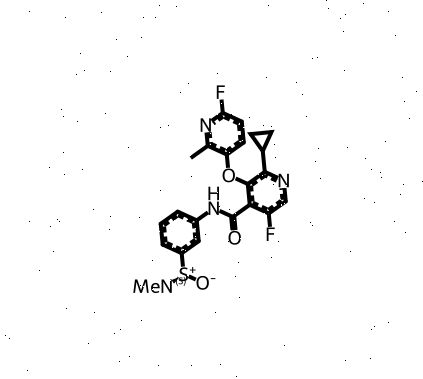 CN[S@+]([O-])c1cccc(NC(=O)c2c(F)cnc(C3CC3)c2Oc2ccc(F)nc2C)c1